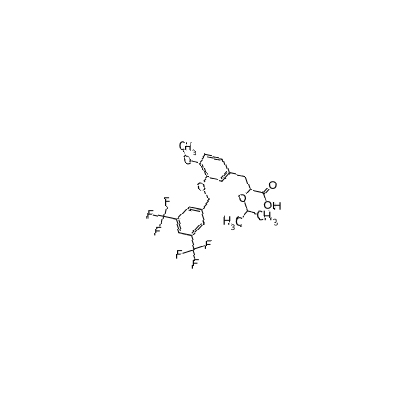 COc1ccc(CC(OC(C)C)C(=O)O)cc1OCc1cc(C(F)(F)F)cc(C(F)(F)F)c1